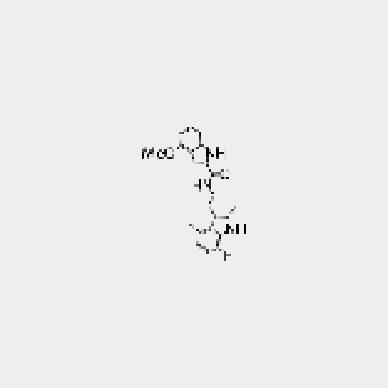 COc1cccc2[nH]c(C(=O)NCCc3c(C)[nH]c4c(F)ccc(C)c34)cc12